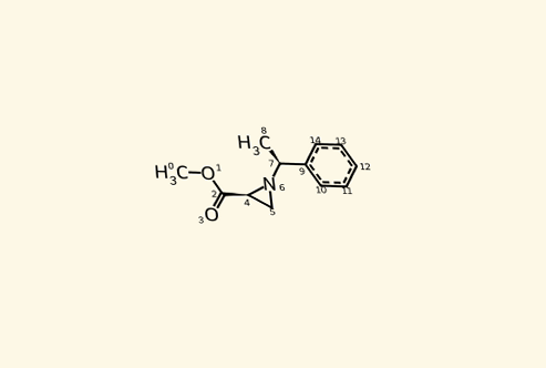 COC(=O)[C@@H]1CN1[C@@H](C)c1ccccc1